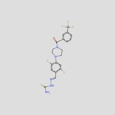 NC(=S)NN=Cc1cc(F)c(N2CCN(C(=O)c3cccc(C(F)(F)F)c3)CC2)cc1F